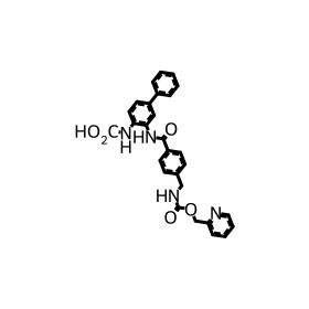 O=C(O)Nc1ccc(-c2ccccc2)cc1NC(=O)c1ccc(CNC(=O)OCc2ccccn2)cc1